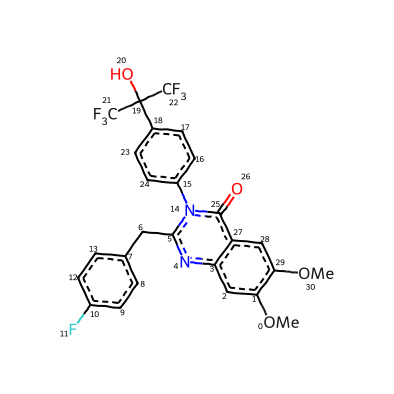 COc1cc2nc(Cc3ccc(F)cc3)n(-c3ccc(C(O)(C(F)(F)F)C(F)(F)F)cc3)c(=O)c2cc1OC